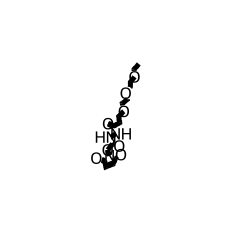 CCOCCOCCOCCC(=O)NNC(=O)ON1C(=O)C=CC1=O